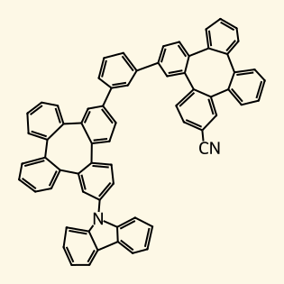 N#Cc1ccc2c(c1)-c1ccccc1-c1ccccc1-c1ccc(-c3cccc(-c4ccc5c(c4)-c4ccccc4-c4ccccc4-c4cc(-n6c7ccccc7c7ccccc76)ccc4-5)c3)cc1-2